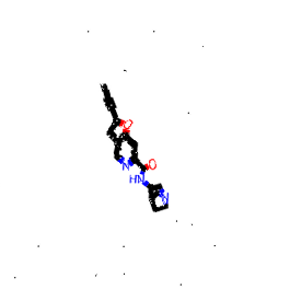 CC#Cc1cc2cnc(C(=O)NC3CN4CCC3C4)cc2o1